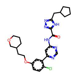 O=C(Nc1cc(-c2cc(OCCC3CCCOC3)ccc2Cl)ncn1)c1nnc(CC2CCCC2)[nH]1